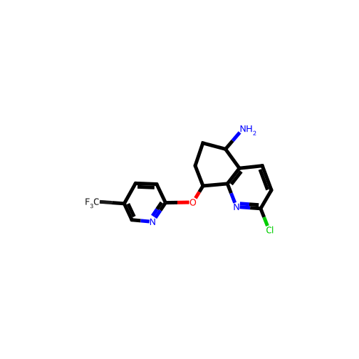 NC1CCC(Oc2ccc(C(F)(F)F)cn2)c2nc(Cl)ccc21